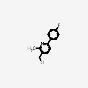 Cc1nc(-c2ccc(F)cc2)ccc1CCl